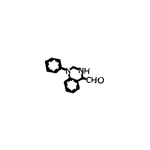 O=CC1NCN(c2ccccc2)c2ccccc21